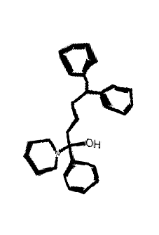 OC(CCCC(c1ccccc1)c1ccccc1)(c1ccccc1)N1CCCCC1